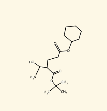 CC(C)(C)OC(=O)C(CCC(=O)OC1CCCCC1)C(N)O